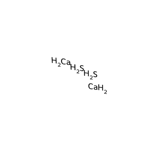 S.S.[CaH2].[CaH2]